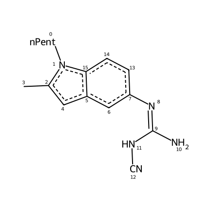 CCCCCn1c(C)cc2cc(N=C(N)NC#N)ccc21